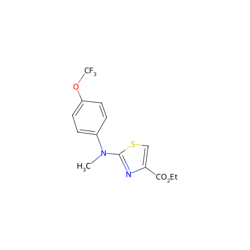 CCOC(=O)c1csc(N(C)c2ccc(OC(F)(F)F)cc2)n1